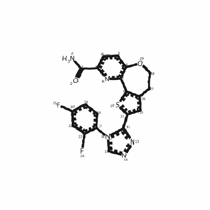 NC(=O)c1ccc2c(n1)-c1sc(-c3nncn3-c3ccc(F)cc3F)cc1CCO2